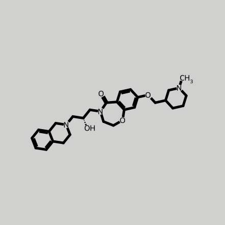 CN1CCCC(COc2ccc3c(c2)OCCN(C[C@H](O)CN2CCc4ccccc4C2)C3=O)C1